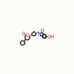 O=C1CC(C2CCCCC2)CCC([C@H]2CC[C@H](CN3Cc4ccc(O)cc4C3=O)CC2)O1